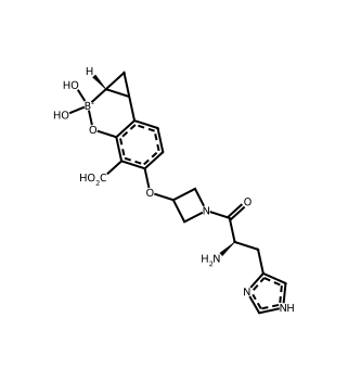 N[C@H](Cc1c[nH]cn1)C(=O)N1CC(Oc2ccc3c(c2C(=O)O)O[B-](O)(O)[C@@H]2CC32)C1